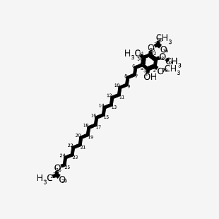 COc1c(O)c(CCCCCCCCCCCCCCCCCCCCOC(C)=O)c(C)c(OC(C)=O)c1OC